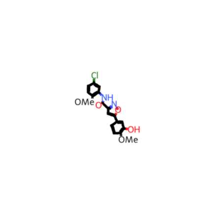 COc1ccc(-c2cc(C(=O)Nc3cc(Cl)ccc3OC)no2)cc1O